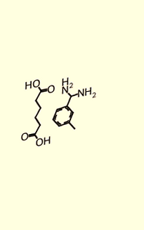 Cc1cccc(C(N)N)c1.O=C(O)CCCCC(=O)O